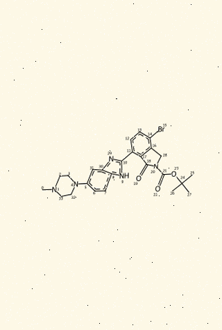 CN1CCN(c2ccc3[nH]c(-c4ccc(Br)c5c4C(=O)N(C(=O)OC(C)(C)C)C5)nc3c2)CC1